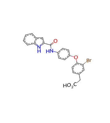 O=C(O)Cc1ccc(Oc2ccc(NC(=O)c3cc4ccccc4[nH]3)cc2)c(Br)c1